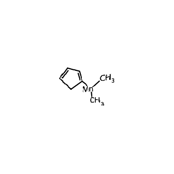 [CH3][Mn]([CH3])[C]1=CC=CC1